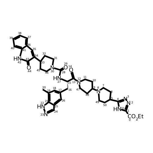 CCOC(=O)c1nnc(C2CCN(C3CCN(C(=O)[C@H](Cc4cc(C)c5[nH]ncc5c4)NC(=O)N4CCC(c5cc6ccccc6[nH]c5=O)CC4)CC3)CC2)[nH]1